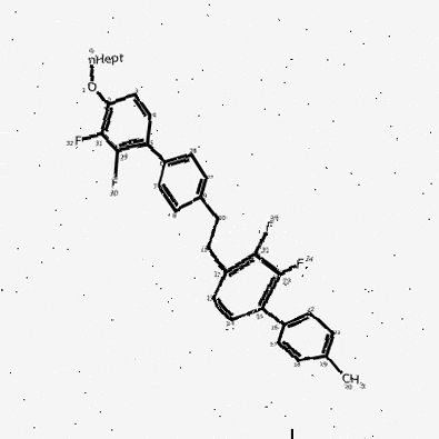 CCCCCCCOc1ccc(-c2ccc(CCc3ccc(-c4ccc(C)cc4)c(F)c3F)cc2)c(F)c1F